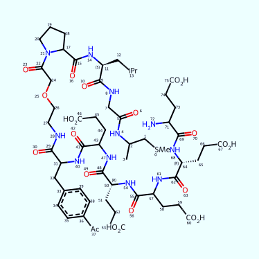 CSCC(C)NC(=O)CNC(=O)[C@H](CC(C)C)NC(=O)C1CCCN1C(=O)COCCNC(=O)C(Cc1ccc(C(C)=O)cc1)NC(=O)C(CCC(=O)O)NC(=O)[C@@H](CCC(=O)O)NC(=O)C(CCC(=O)O)NC(=O)[C@@H](CCC(=O)O)NC(=O)C(N)CCC(=O)O